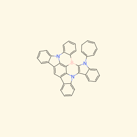 C1=CCC=C(n2c3c(c4ccccc42)-n2c4ccccc4c4cc5c6ccccc6n6c5c(c42)B3c2ccccc2-6)C=C1